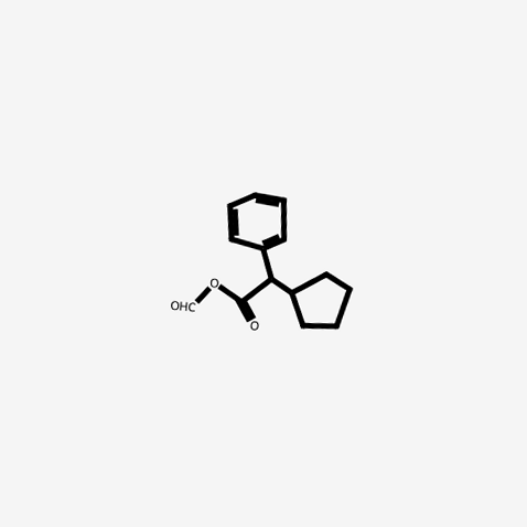 O=COC(=O)C(c1ccccc1)C1CCCC1